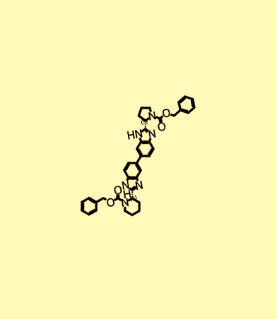 O=C(OCc1ccccc1)N1CCCC[C@H]1c1nc2cc(-c3ccc4nc([C@@H]5CCCN5C(=O)OCc5ccccc5)[nH]c4c3)ccc2[nH]1